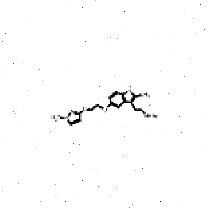 CC(=O)NCCc1c(C)[nH]c2ccc(OCCOc3ccn(C)n3)cc12